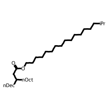 CCCCCCCCCCC(CCCCCCCC)CC(=O)OCCCCCCCCCCCCCCCC(C)C